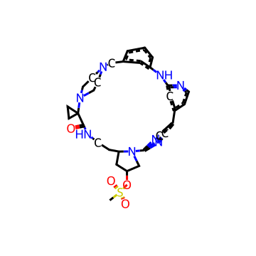 CS(=O)(=O)OC1CC2CCNC(=O)C3(CC3)N3CCN(CC3)Cc3cccc(c3)Nc3cc(ccn3)-c3cnc(nc3)N2C1